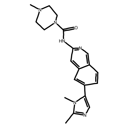 Cc1ncc(-c2ccc3cnc(NC(=O)N4CCN(C)CC4)cc3c2)n1C